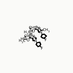 C[SiH](C)OC(c1cn(-c2ccc(F)cc2)cn1)C(C)(C)C.Cc1nc(C(O[SiH](C)C)C(C)(C)C)cn1-c1ccc(F)cc1